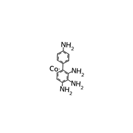 Nc1ccc(-c2ccc(N)c(N)c2N)cc1.[Co]